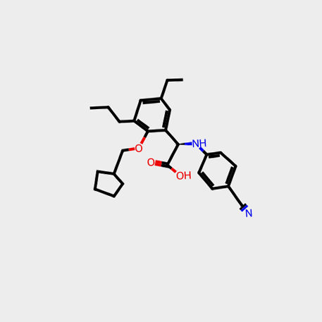 CCCc1cc(CC)cc([C@@H](Nc2ccc(C#N)cc2)C(=O)O)c1OCC1CCCC1